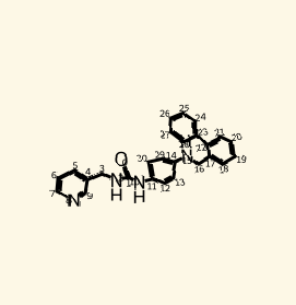 O=C(NCc1cccnc1)Nc1ccc(NCc2ccccc2-c2ccccc2)cc1